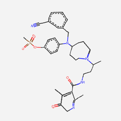 CC1=NCC(=O)C(C)=C1C(=O)NCCC(C)N1CCC(N(Cc2cccc(C#N)c2)c2ccc(OS(C)(=O)=O)cc2)CC1